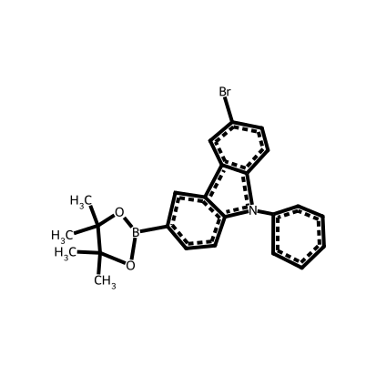 CC1(C)OB(c2ccc3c(c2)c2cc(Br)ccc2n3-c2ccccc2)OC1(C)C